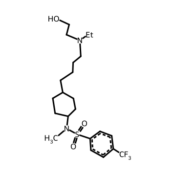 CCN(CCO)CCCCC1CCC(N(C)S(=O)(=O)c2ccc(C(F)(F)F)cc2)CC1